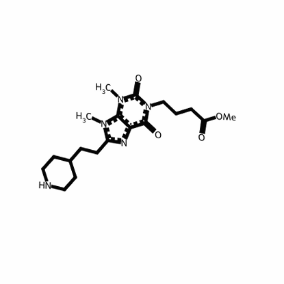 COC(=O)CCCn1c(=O)c2nc(CCC3CCNCC3)n(C)c2n(C)c1=O